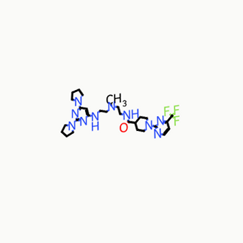 CN(CCNC(=O)C1CCN(c2nccc(C(F)(F)F)n2)CC1)CCNc1cc(N2CCCC2)nc(N2CCCC2)n1